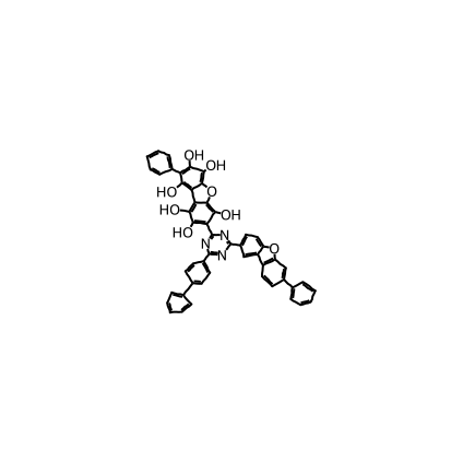 Oc1c(-c2ccccc2)c(O)c2c(oc3c(O)c(-c4nc(-c5ccc(-c6ccccc6)cc5)nc(-c5ccc6oc7cc(-c8ccccc8)ccc7c6c5)n4)c(O)c(O)c32)c1O